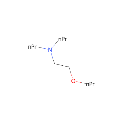 CCCOCCN(CCC)CCC